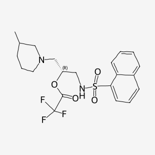 CC1CCCN(C[C@H](CNS(=O)(=O)c2cccc3ccccc23)OC(=O)C(F)(F)F)C1